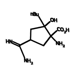 CCCCC1(O)CC(C(=N)N)CC1(N)C(=O)O